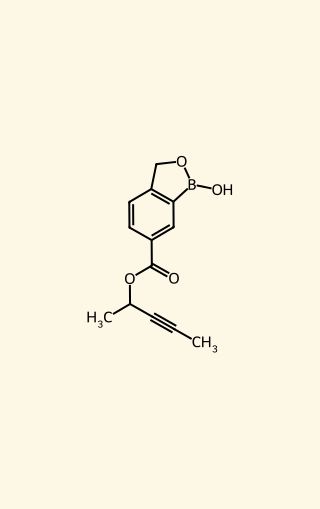 CC#CC(C)OC(=O)c1ccc2c(c1)B(O)OC2